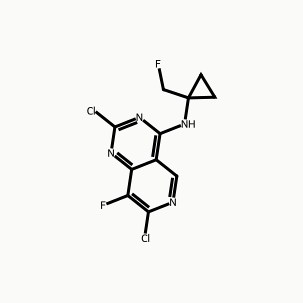 FCC1(Nc2nc(Cl)nc3c(F)c(Cl)ncc23)CC1